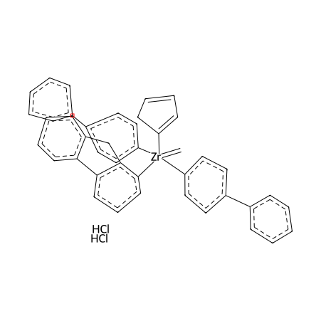 Cl.Cl.[CH2]=[Zr]([C]1=CC=CC1)([c]1ccc(-c2ccccc2)cc1)([c]1ccc(-c2ccccc2)cc1)[c]1cccc2c1Cc1ccccc1-2